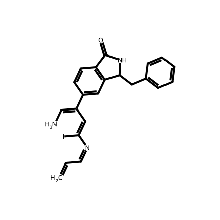 C=C\C=N/C(I)=C/C(=C\N)c1ccc2c(c1)C(Cc1ccccc1)NC2=O